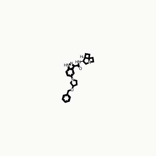 O=C(N[C@@H]1CN2CCC23CC[C@H]13)c1n[nH]c2ccc(N3CCC(OCc4ccccc4)C3)cc12